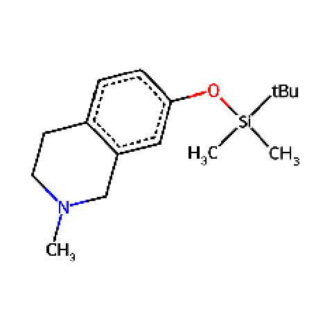 CN1CCc2ccc(O[Si](C)(C)C(C)(C)C)cc2C1